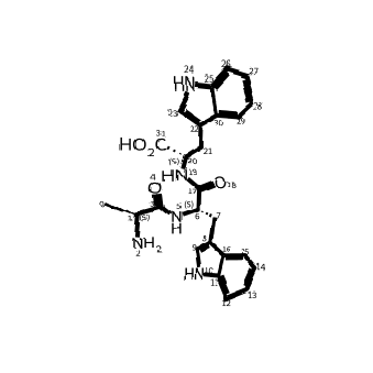 C[C@H](N)C(=O)N[C@@H](Cc1c[nH]c2ccccc12)C(=O)N[C@@H](Cc1c[nH]c2ccccc12)C(=O)O